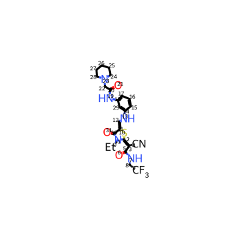 CCn1c(=C(C#N)C(=O)NCC(F)(F)F)sc(=CNc2cccc(NC(=O)CN3CCCCC3)c2)c1=O